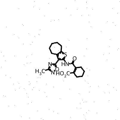 Cc1noc(-c2c(NC(=O)C3=C(C(=O)O)CCCC3)sc3c2CCCCC3)n1